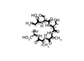 CC[C@H](C)[C@H](NC(=O)[C@H](C)NC(=O)[C@H](C)NC(=O)[C@H](CO)NC(=O)[C@H](CC(=O)O)NC(=O)CN)C(=O)O